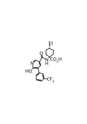 CC[C@H]1CC[C@](NC(=O)c2cnc(O)c(-c3cccc(C(F)(F)F)c3)c2)(C(=O)O)CC1